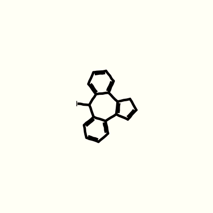 IC1c2ccccc2C2=C(CC=C2)c2ccccc21